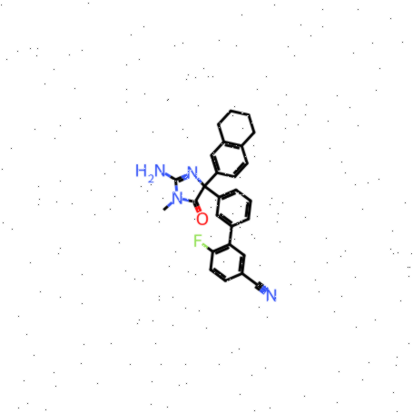 CN1C(=O)C(c2cccc(-c3cc(C#N)ccc3F)c2)(c2ccc3c(c2)CCCC3)N=C1N